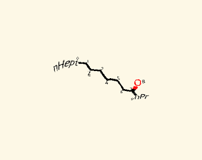 CCCCCCCCCCCCCC(=O)CCC